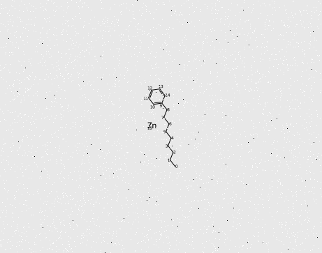 CCCCCCCCCc1cc[c]cc1.[Zn]